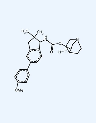 COc1ccc(-c2ccc3c(c2)CC(C)(C)C3NC(=O)O[C@H]2CN3CCC2CC3)cc1